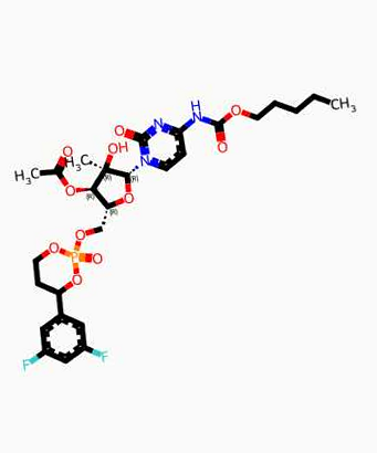 CCCCCOC(=O)Nc1ccn([C@@H]2O[C@H](COP3(=O)OCCC(c4cc(F)cc(F)c4)O3)[C@@H](OC(C)=O)[C@@]2(C)O)c(=O)n1